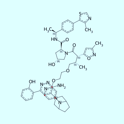 Cc1cc([C@@H](C(=O)N2C[C@H](O)C[C@H]2C(=O)N[C@@H](C)c2ccc(-c3scnc3C)cc2)[C@H](C)COCCOc2cc(N3C4CCC3CN(c3cc(-c5ccccc5O)nnc3N)C4)ccn2)on1